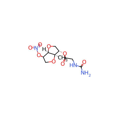 C[C@]12OC[C@@H](O[N+](=O)[O-])[C@H]1OC[C@@H]2OC(=O)CNC(N)=O